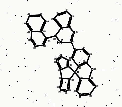 c1ccc2c(c1)N=C(c1ccc3c(c1)C1(c4ccccc4O3)c3ccccc3-c3ccccc31)NC2c1cccc2ccccc12